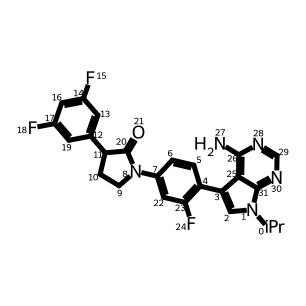 CC(C)n1cc(-c2ccc(N3CCC(c4cc(F)cc(F)c4)C3=O)cc2F)c2c(N)ncnc21